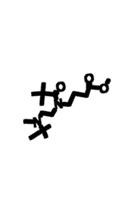 COC(=O)CCCN(CCN(C)C(C)(C)C)C(=O)C(C)(C)C